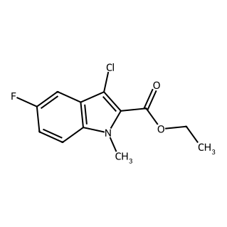 CCOC(=O)c1c(Cl)c2cc(F)ccc2n1C